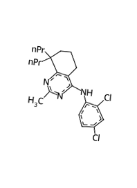 CCCC1(CCC)CCCc2c(Nc3ccc(Cl)cc3Cl)nc(C)nc21